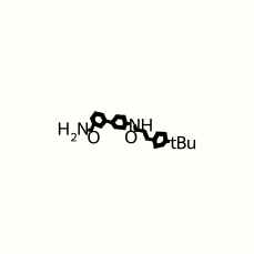 CC(C)(C)c1ccc(C=CC(=O)Nc2ccc(-c3cccc(C(N)=O)c3)cc2)cc1